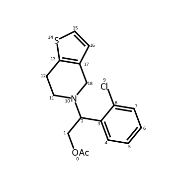 CC(=O)OCC(c1ccccc1Cl)N1CCc2sccc2C1